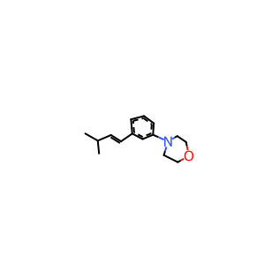 CC(C)/C=C/c1cccc(N2CCOCC2)c1